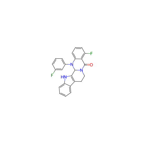 O=C1c2c(F)cccc2N(c2cccc(F)c2)C2c3[nH]c4ccccc4c3CCN12